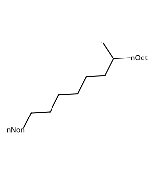 [CH2]C(CCCCCCCC)CCCCCCCCCCCCCCC